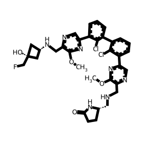 COc1nc(-c2cccc(-c3cccc(-c4cnc(CN[C@H]5C[C@](O)(CF)C5)c(OC)n4)c3Cl)c2Cl)cnc1CNC[C@@H]1CCC(=O)N1